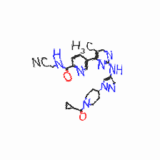 Cc1cnc(Nc2cnn(C3CCN(C(=O)C4CC4)CC3)c2)nc1-c1ccc(C(=O)NCC#N)nc1